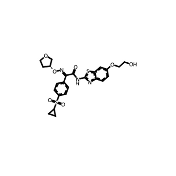 O=C(Nc1nc2ccc(OCCO)cc2s1)/C(=N/O[C@@H]1CCOC1)c1ccc(S(=O)(=O)C2CC2)cc1